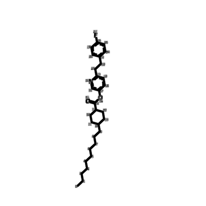 CCCCCCCCCCC1CCC(C(=O)Oc2ccc(CCc3ccc(F)cc3)nc2)CC1